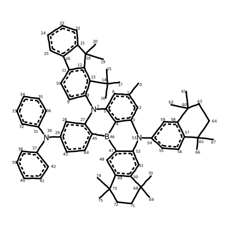 Cc1cc2c3c(c1)N(c1ccc4c(c1C(C)(C)C)C(C)(C)c1ccccc1-4)c1cc(N(c4ccccc4)c4ccccc4)ccc1B3c1cc3c(cc1N2c1ccc2c(c1)C(C)(C)CCC2(C)C)C(C)(C)CCC3(C)C